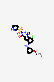 COc1cccc(Nc2ccc(Cl)c3c2cc(C(=O)NS(=O)(=O)c2cccnc2)n3C)c1